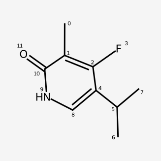 Cc1c(F)c(C(C)C)c[nH]c1=O